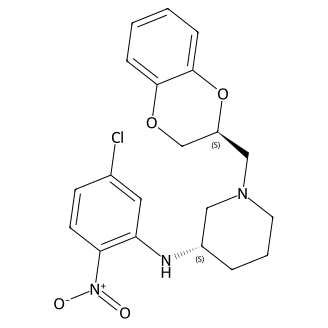 O=[N+]([O-])c1ccc(Cl)cc1N[C@H]1CCCN(C[C@H]2COc3ccccc3O2)C1